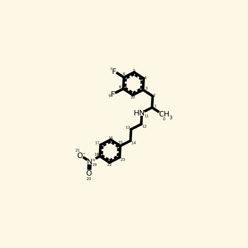 CC(Cc1ccc(F)c(F)c1)NCCCc1ccc([N+](=O)[O-])cc1